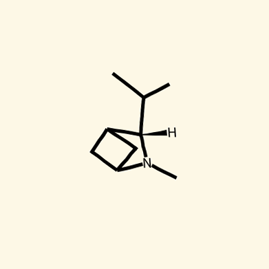 CC(C)[C@H]1C2CC(C2)N1C